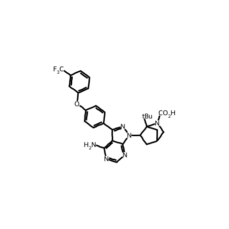 CC(C)(C)C12CC(CC1n1nc(-c3ccc(Oc4cccc(C(F)(F)F)c4)cc3)c3c(N)ncnc31)CN2C(=O)O